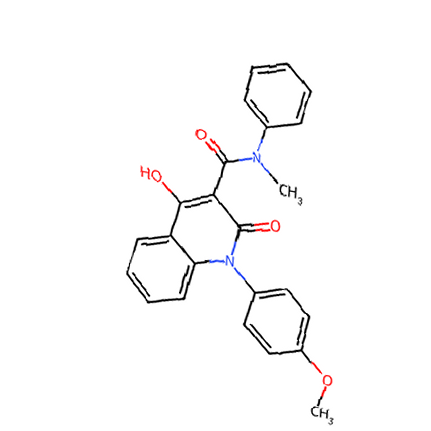 COc1ccc(-n2c(=O)c(C(=O)N(C)c3ccccc3)c(O)c3ccccc32)cc1